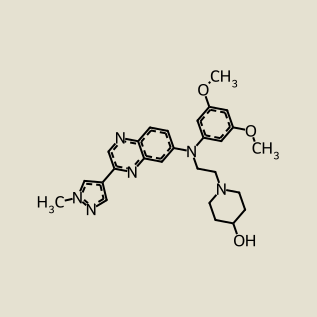 COc1cc(OC)cc(N(CCN2CCC(O)CC2)c2ccc3ncc(-c4cnn(C)c4)nc3c2)c1